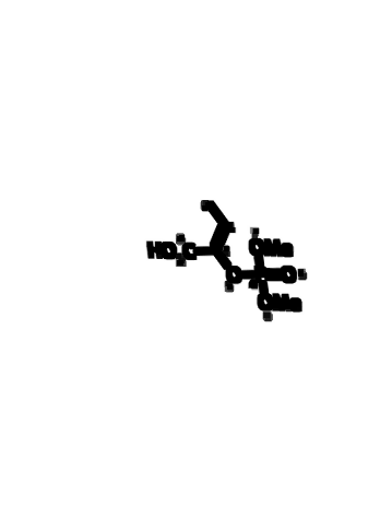 CC=C(OP(=O)(OC)OC)C(=O)O